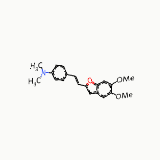 COc1cc2cc(C=Cc3ccc(N(C)C)cc3)oc2cc1OC